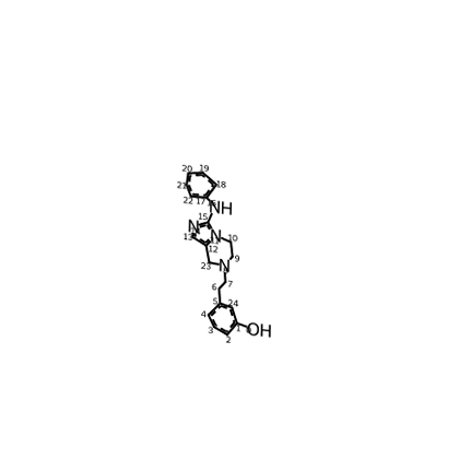 Oc1cccc(CCN2CCn3c(cnc3Nc3ccccc3)C2)c1